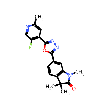 Cc1cc(-c2nnc(-c3ccc4c(c3)N(C)C(=O)C4(C)C)o2)c(F)cn1